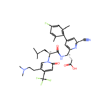 Cc1cc(F)cc(C)c1-c1cc(C#N)nc([C@H](CC(=O)O)NC(=O)[C@H](CC(C)C)n2cc(CCN(C)C)c(C(F)(F)F)cc2=O)c1